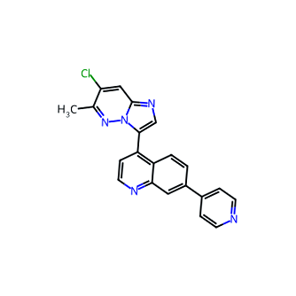 Cc1nn2c(-c3ccnc4cc(-c5ccncc5)ccc34)cnc2cc1Cl